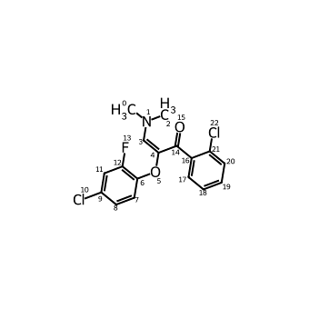 CN(C)C=C(Oc1ccc(Cl)cc1F)C(=O)c1ccccc1Cl